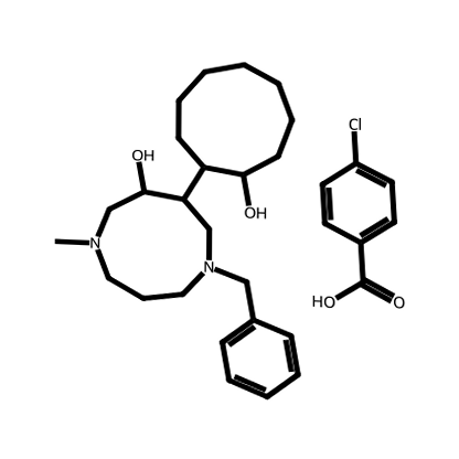 CN1CCCN(Cc2ccccc2)CC(C2CCCCCCCC2O)C(O)C1.O=C(O)c1ccc(Cl)cc1